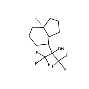 OC(C1CCC[C@H]2CCCC12)(C(F)(F)F)C(F)(F)F